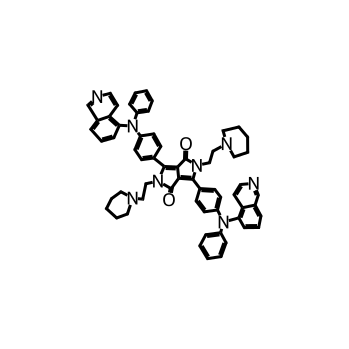 O=C1C2=C(c3ccc(N(c4ccccc4)c4cccc5cnccc45)cc3)N(CCN3CCCCC3)C(=O)C2=C(c2ccc(N(c3ccccc3)c3cccc4cnccc34)cc2)N1CCN1CCCCC1